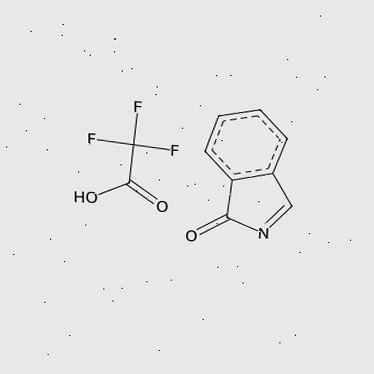 O=C(O)C(F)(F)F.O=C1N=Cc2ccccc21